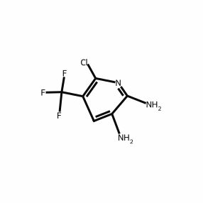 Nc1cc(C(F)(F)F)c(Cl)nc1N